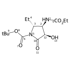 CCOC(=O)N[C@@H]1[C@@H](CC)N(C(=O)OC(C)(C)C)C(=O)[C@@H]1O